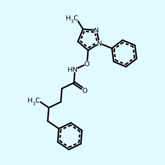 Cc1cc(ONC(=O)CCC(C)Cc2ccccc2)n(-c2ccccc2)n1